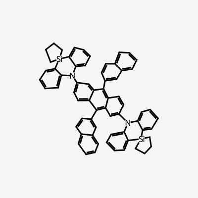 c1ccc2c(c1)N(c1ccc3c(-c4ccc5ccccc5c4)c4cc(N5c6ccccc6[Si]6(CCCC6)c6ccccc65)ccc4c(-c4ccc5ccccc5c4)c3c1)c1ccccc1[Si]21CCCC1